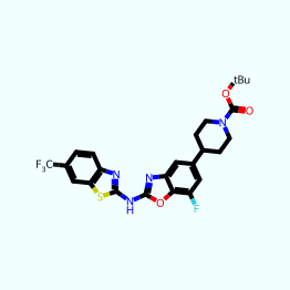 CC(C)(C)OC(=O)N1CCC(c2cc(F)c3oc(Nc4nc5ccc(C(F)(F)F)cc5s4)nc3c2)CC1